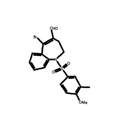 COc1ccc(S(=O)(=O)N2CCC(C=O)=C(Br)c3ccccc32)cc1C